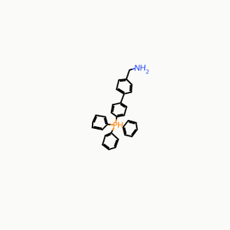 NCc1ccc(-c2ccc([PH](c3ccccc3)(c3ccccc3)c3ccccc3)cc2)cc1